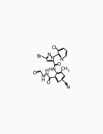 Cc1cc(C#N)cc(C(=O)NNC=O)c1NC(=O)c1cc(Br)nn1-c1ncccc1Cl